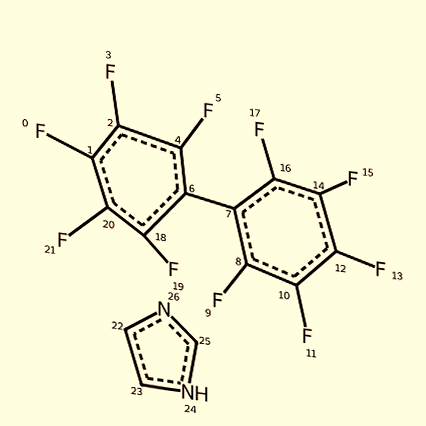 Fc1c(F)c(F)c(-c2c(F)c(F)c(F)c(F)c2F)c(F)c1F.c1c[nH]cn1